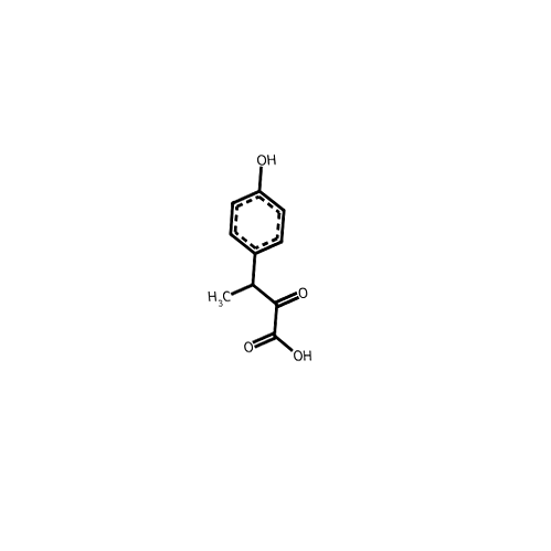 CC(C(=O)C(=O)O)c1ccc(O)cc1